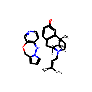 CC(C)=CCN1CC[C@@]2(C)c3cc(O)ccc3C[C@@H]1[C@@H]2C.c1cc2n(c1)Nc1ccncc1OC2